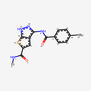 CCNC(=O)c1cc2c(NC(=O)c3ccc(C(C)(C)C)cc3)n[nH]c2s1